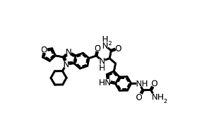 NC(=O)C(=O)Nc1ccc2[nH]cc(CC(NC(=O)c3ccc4c(c3)nc(-c3ccoc3)n4C3CCCCC3)C(N)=O)c2c1